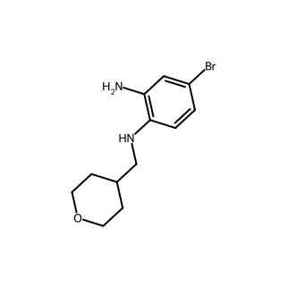 Nc1cc(Br)ccc1NCC1CCOCC1